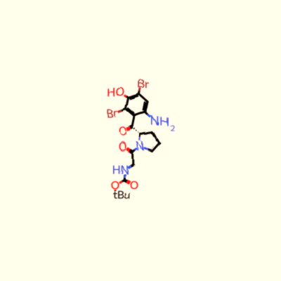 CC(C)(C)OC(=O)NCC(=O)N1CCC[C@H]1C(=O)c1c(N)cc(Br)c(O)c1Br